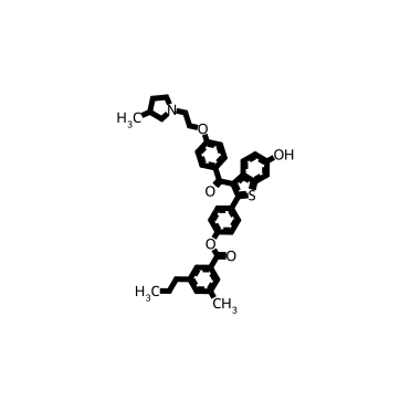 CCCc1cc(C)cc(C(=O)Oc2ccc(-c3sc4cc(O)ccc4c3C(=O)c3ccc(OCCN4CCC(C)C4)cc3)cc2)c1